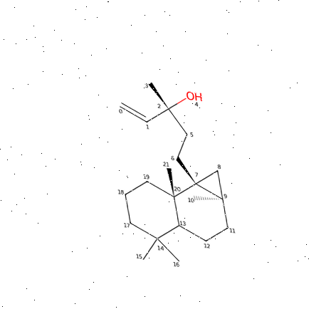 C=C[C@](C)(O)CC[C@@]12C[C@@]1(C)CCC1C(C)(C)CCC[C@@]12C